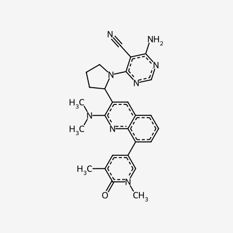 Cc1cc(-c2cccc3cc(C4CCCN4c4ncnc(N)c4C#N)c(N(C)C)nc23)cn(C)c1=O